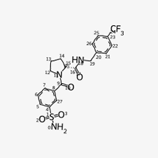 NS(=O)(=O)c1cccc(C(=O)N2CCC[C@@H]2C(=O)NCc2ccc(C(F)(F)F)cc2)c1